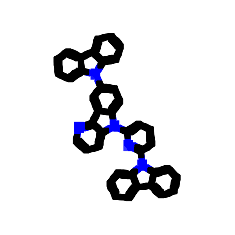 c1cc(-n2c3ccccc3c3ccccc32)nc(-n2c3ccc(-n4c5ccccc5c5ccccc54)cc3c3ncccc32)c1